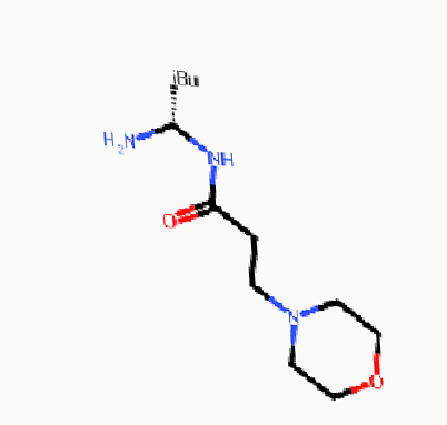 CCC(C)[C@@H](N)NC(=O)CCN1CCOCC1